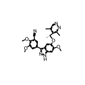 COc1cc2[nH]nc(-c3cc(C#N)c(OC)c(OC)c3)c2cc1O[C@H](C)c1c(C)cnnc1C